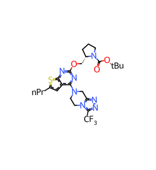 CCCc1cc2c(N3CCn4c(nnc4C(F)(F)F)C3)nc(OC[C@@H]3CCCN3C(=O)OC(C)(C)C)nc2s1